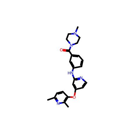 Cc1ccc(Oc2ccnc(Nc3cccc(C(=O)N4CCN(C)CC4)c3)c2)c(C)n1